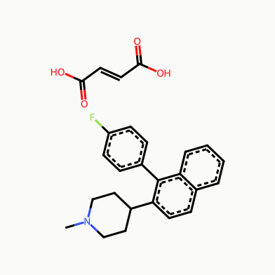 CN1CCC(c2ccc3ccccc3c2-c2ccc(F)cc2)CC1.O=C(O)/C=C/C(=O)O